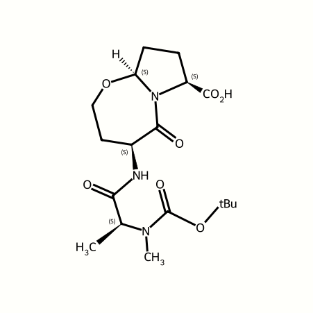 C[C@@H](C(=O)N[C@H]1CCO[C@H]2CC[C@@H](C(=O)O)N2C1=O)N(C)C(=O)OC(C)(C)C